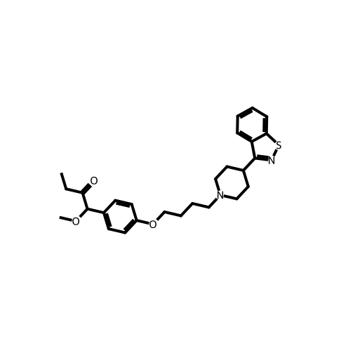 CCC(=O)C(OC)c1ccc(OCCCCN2CCC(c3nsc4ccccc34)CC2)cc1